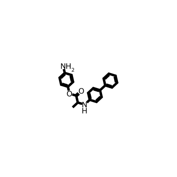 CC(Nc1ccc(-c2ccccc2)cc1)C(=O)Oc1ccc(N)cc1